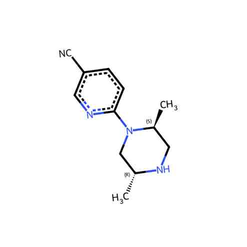 C[C@@H]1CN(c2ccc(C#N)cn2)[C@@H](C)CN1